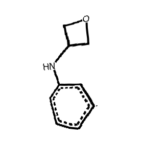 [c]1cccc(NC2COC2)c1